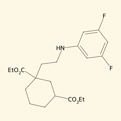 CCOC(=O)C1CCCC(CCNc2cc(F)cc(F)c2)(C(=O)OCC)C1